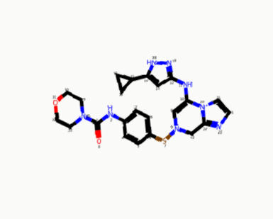 O=C(Nc1ccc(SN2C=C(Nc3cc(C4CC4)[nH]n3)[N+]3C=CN=C3C2)cc1)N1CCOCC1